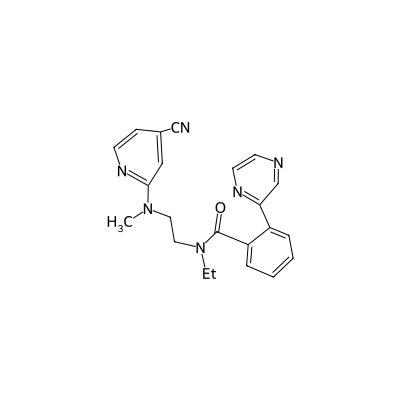 CCN(CCN(C)c1cc(C#N)ccn1)C(=O)c1ccccc1-c1cnccn1